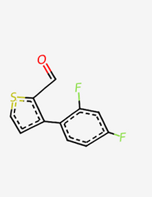 O=Cc1sccc1-c1ccc(F)cc1F